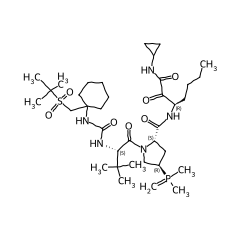 C=P(C)(C)[C@@H]1C[C@@H](C(=O)N[C@H](CCCC)C(=O)C(=O)NC2CC2)N(C(=O)[C@@H](NC(=O)NC2(CS(=O)(=O)C(C)(C)C)CCCCC2)C(C)(C)C)C1